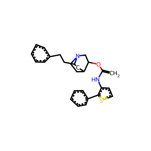 C=C(Nc1ccsc1-c1ccccc1)OC1CN2CCC1CC2CCc1ccccc1